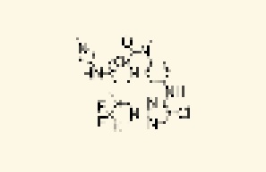 C[C@@H]1CN(c2ncc(Cl)c(Nc3ccc4c(c3)n(CCC(=O)NC3CN(C)C3)c(=O)c(=O)n4C)n2)C[C@H](C)C1(F)F